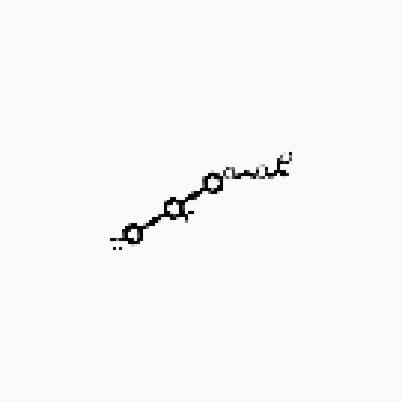 C=C(C=O)COCCCOc1ccc(C#Cc2ccc(C#Cc3ccc(OC)cc3)cc2Cl)cc1